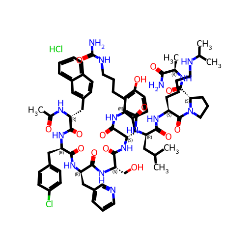 CC(=O)N[C@H](Cc1ccc2ccccc2c1)C(=O)N[C@H](Cc1ccc(Cl)cc1)C(=O)N[C@H](Cc1cccnc1)C(=O)N[C@@H](CO)C(=O)N[C@@H](Cc1ccc(O)cc1)C(=O)N[C@H](CCCCNC(N)=O)C(=O)N[C@H](CC(C)C)C(=O)N[C@@H](CCCCNC(C)C)C(=O)N1CCC[C@H]1C(=O)N[C@H](C)C(N)=O.Cl